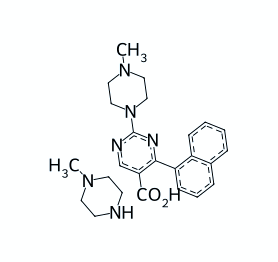 CN1CCN(c2ncc(C(=O)O)c(-c3cccc4ccccc34)n2)CC1.CN1CCNCC1